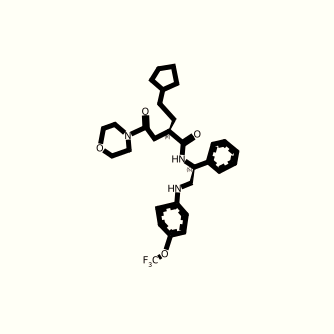 O=C(N[C@H](CNc1ccc(OC(F)(F)F)cc1)c1ccccc1)[C@H](CCC1CCCC1)CC(=O)N1CCOCC1